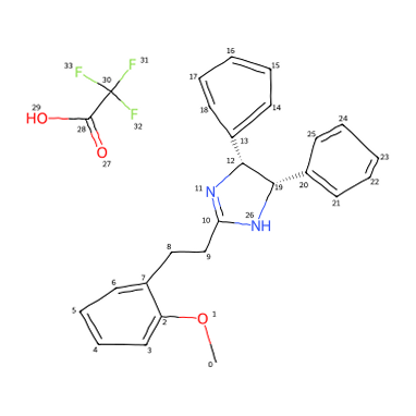 COc1ccccc1CCC1=N[C@H](c2ccccc2)[C@H](c2ccccc2)N1.O=C(O)C(F)(F)F